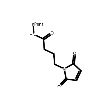 CCCCCNC(=O)CCCN1C(=O)C=CC1=O